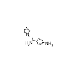 Nc1ccc(C(N)CCn2ccnc2)cc1